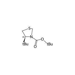 CC(C)(C)OC(=O)N1CSC[C@@H]1C(C)(C)C